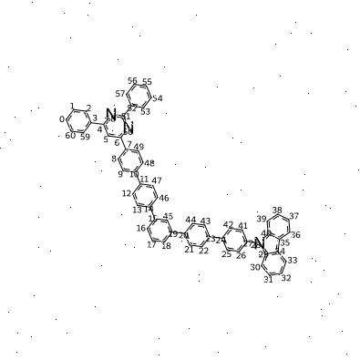 c1ccc(-c2cc(-c3ccc(-c4ccc(-c5cccc(-c6ccc(-c7ccc(-n8c9ccccc9c9ccccc98)cc7)cc6)c5)cc4)cc3)nc(-c3ccccc3)n2)cc1